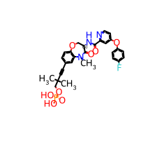 CN1C(=O)[C@@H](NC(=O)c2cc(Oc3ccc(F)cc3)ccn2)COc2ccc(C#CC(C)(C)COP(=O)(O)O)cc21